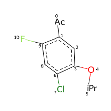 CC(=O)c1cc(OC(C)C)c(Cl)cc1F